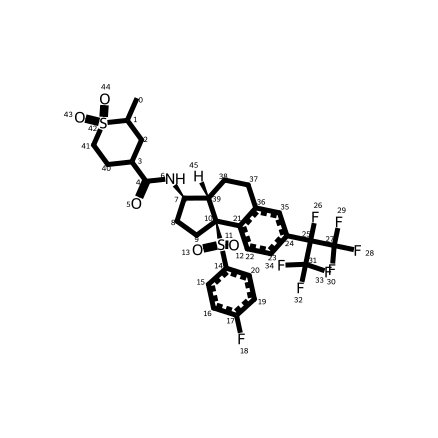 CC1CC(C(=O)N[C@@H]2CC[C@@]3(S(=O)(=O)c4ccc(F)cc4)c4ccc(C(F)(C(F)(F)F)C(F)(F)F)cc4CC[C@@H]23)CCS1(=O)=O